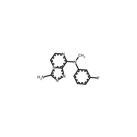 CN(c1cccc(F)c1)c1nccn2c(N)nnc12